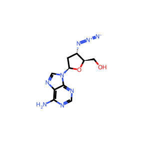 [N-]=[N+]=N[C@H]1C[C@H](n2cnc3c(N)ncnc32)O[C@@H]1CO